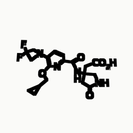 O=C(O)CC1(NC(=O)c2ccc(N3CC(F)(F)C3)c(OCC3CC3)n2)CNC(=O)C1